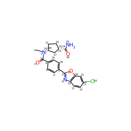 CN(C(=O)c1ccc(-c2nc3ccc(Cl)cc3o2)cc1)[C@@H]1CC[C@H](C(N)=O)C1